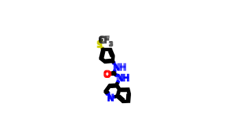 O=C(Nc1ccc(SC(F)(F)F)cc1)Nc1ccnc2ccccc12